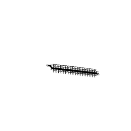 CCCC(F)(F)C(F)(F)C(F)(F)C(F)(F)C(F)(F)C(F)(F)C(F)(F)C(F)(F)C(F)(F)C(F)(F)C(F)(F)C(F)(F)C(F)(F)C(F)(F)C(F)(F)C(F)(F)C(F)(F)C(F)(F)F